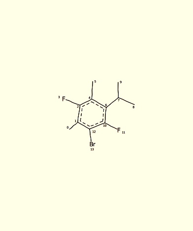 Cc1c(F)c(C)c(C(C)C)c(F)c1Br